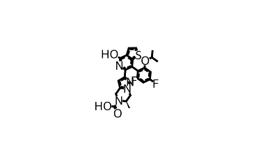 CC(C)Oc1cc(F)cc(F)c1-c1c(-c2cc3n(n2)C[C@@H](C)N(C(=O)O)C3)nc(O)c2ccsc12